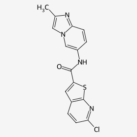 Cc1cn2cc(NC(=O)c3cc4ccc(Cl)nc4s3)ccc2n1